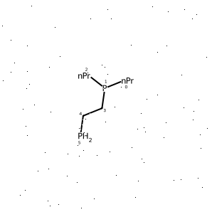 CCCP(CCC)CCP